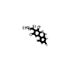 CCON=C(CC)C1C(=O)CC2c3c(C)cc(C)cc3CSC2C1=O